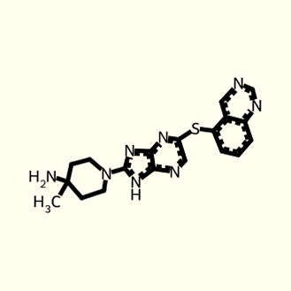 CC1(N)CCN(c2nc3nc(Sc4cccc5ncncc45)cnc3[nH]2)CC1